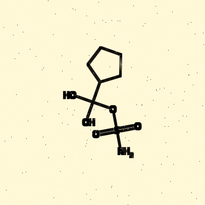 NS(=O)(=O)OC(O)(O)C1CCCC1